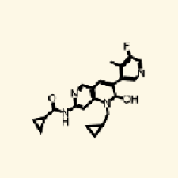 Cc1c(F)cncc1C1=Cc2cnc(NC(=O)C3CC3)cc2N(CC2CC2)C1O